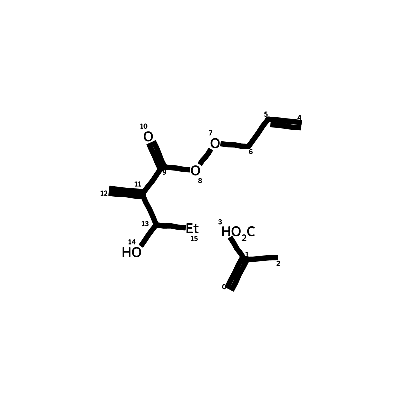 C=C(C)C(=O)O.C=CCOOC(=O)C(=C)C(O)CC